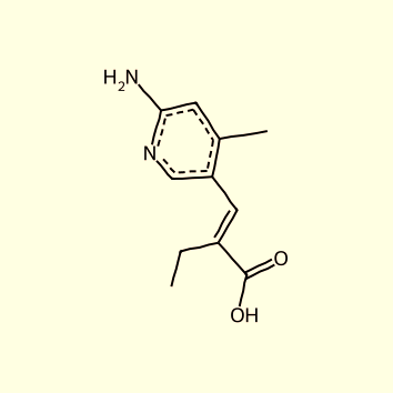 CC/C(=C\c1cnc(N)cc1C)C(=O)O